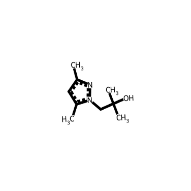 Cc1cc(C)n(CC(C)(C)O)n1